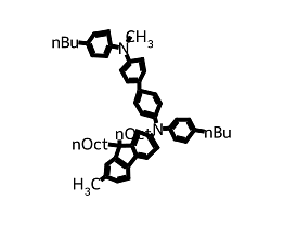 CCCCCCCCC1(CCCCCCCC)c2cc(C)ccc2-c2ccc(N(c3ccc(CCCC)cc3)c3ccc(-c4ccc(N(C)c5ccc(CCCC)cc5)cc4)cc3)cc21